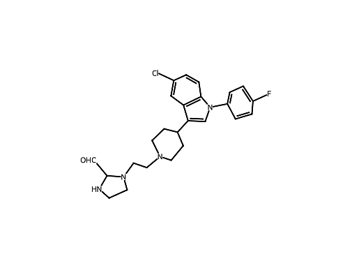 O=CC1NCCN1CCN1CCC(c2cn(-c3ccc(F)cc3)c3ccc(Cl)cc23)CC1